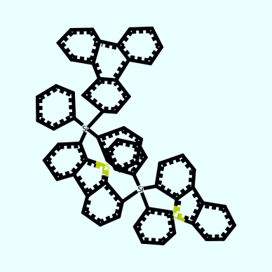 c1ccc([Si](c2ccccc2)(c2ccc3c4ccccc4c4ccccc4c3c2)c2cccc3c2sc2c([Si](c4ccccc4)(c4ccccc4)c4cccc5c4sc4ccccc45)cccc23)cc1